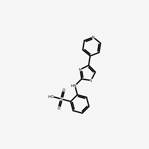 O=S(=O)(O)c1ccccc1Nc1nc(-c2ccncc2)cs1